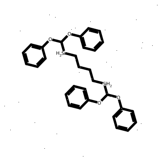 c1ccc(OC(Oc2ccccc2)[SiH2]CCCC[SiH2]C(Oc2ccccc2)Oc2ccccc2)cc1